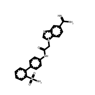 N=C(N)c1ccc2c(c1)ncn2CC(=O)Nc1ccc(-c2ccccc2S(N)(=O)=O)cc1